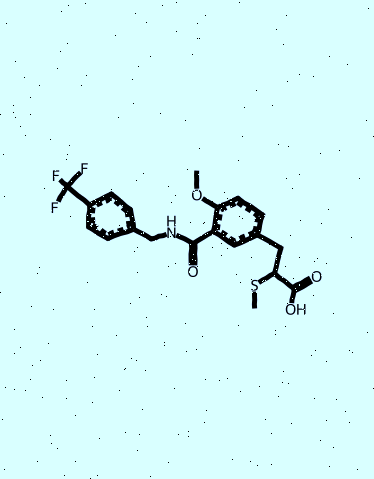 COc1ccc(CC(SC)C(=O)O)cc1C(=O)NCc1ccc(C(F)(F)F)cc1